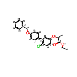 CCOC(=O)C(C)Oc1ccc(Cl)c(-c2ccc(OCc3ccccc3)cc2)c1